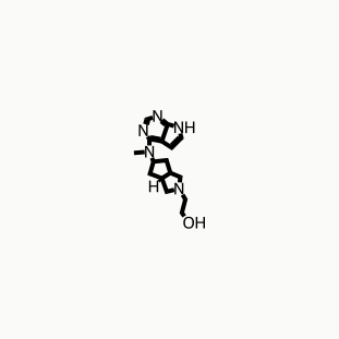 CN(c1ncnc2[nH]ccc12)C1CC2CN(CCO)C[C@@H]2C1